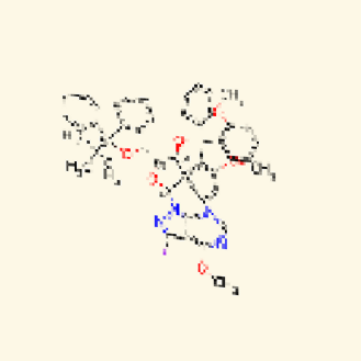 COc1ccccc1C(O[C@H]1C[C@H](n2nc(I)c3c(OC)ncnc32)O[C@@H]1CO[Si](c1ccccc1)(c1ccccc1)C(C)(C)C)(c1ccccc1)c1ccccc1OC